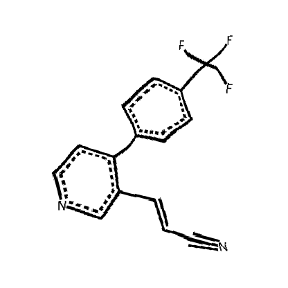 N#CC=Cc1cnccc1-c1ccc(C(F)(F)F)cc1